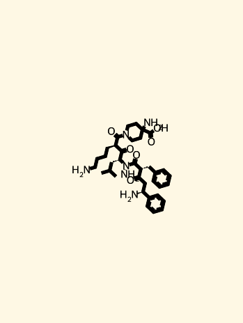 CC(C)C[C@H](C(=O)[C@@H](CCCCN)C(=O)N1CCC(N)(C(=O)O)CC1)N(N)C(=O)[C@H](Cc1ccccc1)C(=O)C[C@@H](N)c1ccccc1